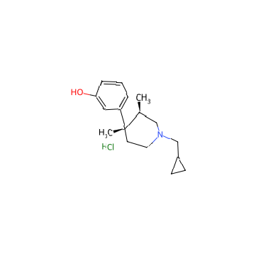 C[C@H]1CN(CC2CC2)CC[C@]1(C)c1cccc(O)c1.Cl